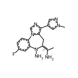 C/C(N)=C1\Cc2c(-c3cnn(C)c3)ncn2-c2ccc(F)cc2N1N